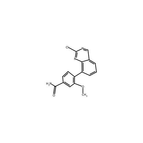 COc1cc(C(N)=O)ccc1-c1cccc2cnc(Cl)nc12